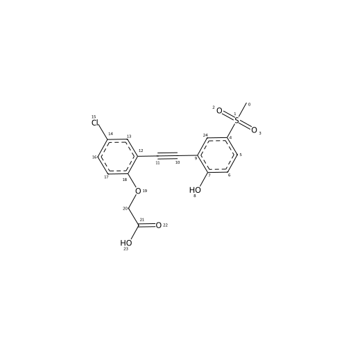 CS(=O)(=O)c1ccc(O)c(C#Cc2cc(Cl)ccc2OCC(=O)O)c1